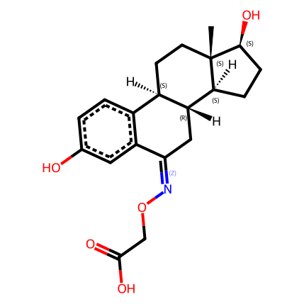 C[C@]12CC[C@@H]3c4ccc(O)cc4/C(=N\OCC(=O)O)C[C@H]3[C@@H]1CC[C@@H]2O